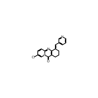 O=c1c2c(nc3ccc(Cl)cn13)C(=Cc1cccnc1)CCC2